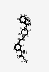 CC(C)CC(=O)Nc1cccc(CCN2CCN(c3nsc4ccccc34)CC2)c1